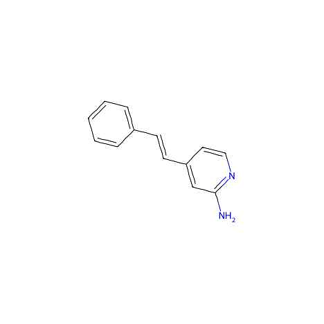 Nc1cc(C=Cc2ccccc2)ccn1